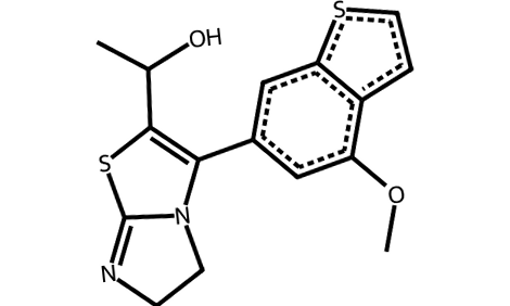 COc1cc(C2=C(C(C)O)SC3=NCCN32)cc2sccc12